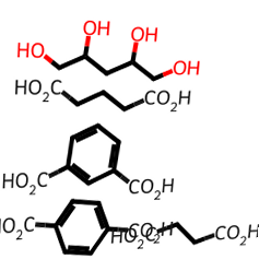 O=C(O)CCC(=O)O.O=C(O)CCCC(=O)O.O=C(O)c1ccc(C(=O)O)cc1.O=C(O)c1cccc(C(=O)O)c1.OCC(O)CC(O)CO